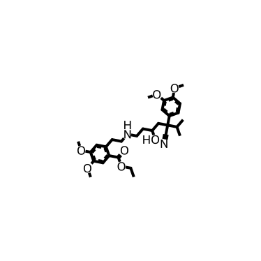 CCOC(=O)c1cc(OC)c(OC)cc1CCNCCC(O)CC(C#N)(c1ccc(OC)c(OC)c1)C(C)C